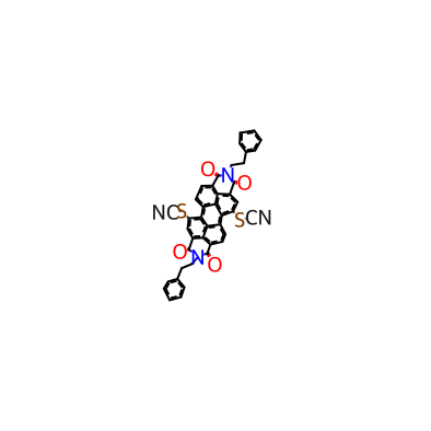 N#CSc1cc2c3c(ccc4c5c(SC#N)cc6c7c(ccc(c1c34)c75)C(=O)N(CCc1ccccc1)C6=O)C(=O)N(CCc1ccccc1)C2=O